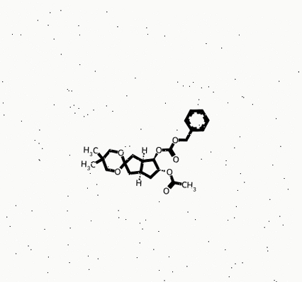 CC(=O)O[C@@H]1C[C@H]2CC3(C[C@H]2[C@H]1OC(=O)OCc1ccccc1)OCC(C)(C)CO3